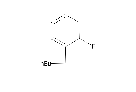 CCCCC(C)(C)c1cc[c]cc1F